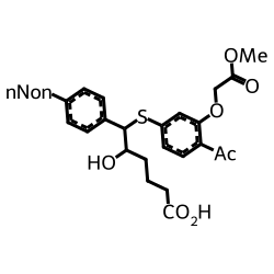 CCCCCCCCCc1ccc(C(Sc2ccc(C(C)=O)c(OCC(=O)OC)c2)C(O)CCCC(=O)O)cc1